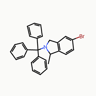 CC1c2ccc(Br)cc2CN1C(c1ccccc1)(c1ccccc1)c1ccccc1